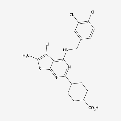 Cc1sc2nc(C3CCC(C(=O)O)CC3)nc(NCc3ccc(Cl)c(Cl)c3)c2c1Cl